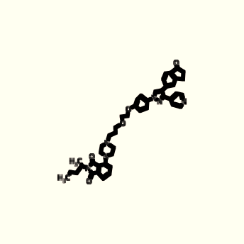 CCCC(C)N1C(=O)c2cccc(N3CCN(CCCOCCOc4ccc(-n5cc(-c6ccc7c(c6)CCC7=O)c(-c6ccncc6)n5)cc4)CC3)c2C1=O